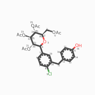 CC(=O)OC[C@H]1OC(c2ccc(Cl)c(Cc3ccc(O)cc3)c2)[C@H](OC(C)=O)[C@@H](OC(C)=O)[C@@H]1OC(C)=O